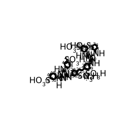 O=S(=O)(O)c1cccc(Nc2nc(Nc3cccc(S(=O)(=O)O)c3)nc(Nc3ccc(C=Cc4ccc(Nc5nc(Nc6cccc(S(=O)(=O)O)c6)nc(Nc6cccc(S(=O)(=O)O)c6)n5)cc4S(=O)(=O)O)c(S(=O)(=O)O)c3)n2)c1.[Na]